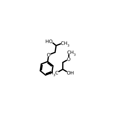 CC(O)COc1ccccc1.COCC(C)O